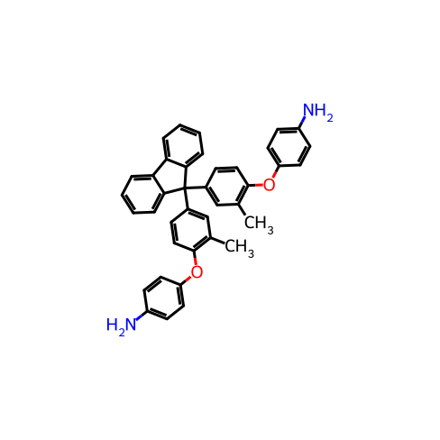 Cc1cc(C2(c3ccc(Oc4ccc(N)cc4)c(C)c3)c3ccccc3-c3ccccc32)ccc1Oc1ccc(N)cc1